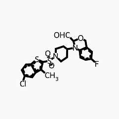 Cc1c(S(=O)(=O)N2CCC(N3c4ccc(F)cc4COC3C=O)CC2)sc2ccc(Cl)cc12